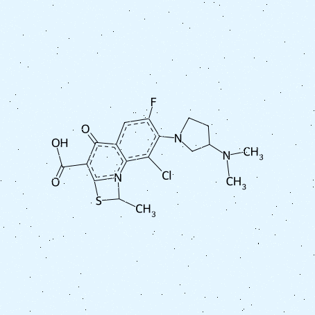 CC1Sc2c(C(=O)O)c(=O)c3cc(F)c(N4CCC(N(C)C)C4)c(Cl)c3n21